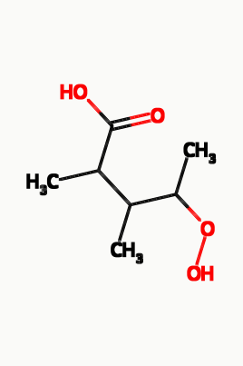 CC(OO)C(C)C(C)C(=O)O